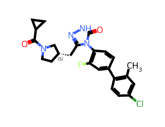 Cc1cc(Cl)ccc1-c1ccc(-n2c(C[C@@H]3CCN(C(=O)C4CC4)C3)n[nH]c2=O)c(F)c1